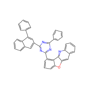 c1ccc(-c2nc(-c3cc(-c4ccccc4)c4ccccc4c3)nc(-c3cccc4oc5cc6ccccc6nc5c34)n2)cc1